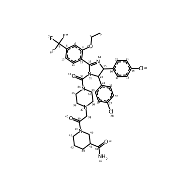 CCOc1cc(C(F)(F)F)ccc1C1=NC(c2ccc(Cl)cc2)C(c2ccc(Cl)cc2)N1C(=O)N1CCN(CC(=O)N2CCCC(C(N)=O)C2)CC1